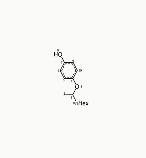 CCCCCCC(C)Oc1ccc(O)cc1